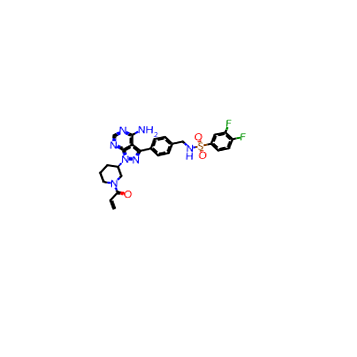 C=CC(=O)N1CCC[C@@H](n2nc(-c3ccc(CNS(=O)(=O)c4ccc(F)c(F)c4)cc3)c3c(N)ncnc32)C1